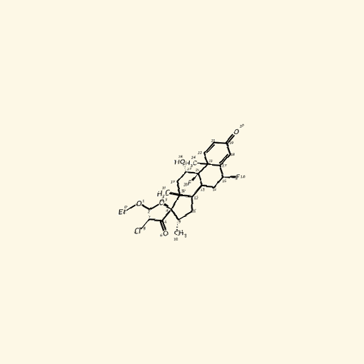 CCOCO[C@]1(C(=O)CCl)[C@@H](C)CC2C3C[C@H](F)C4=CC(=O)C=CC4(C)[C@@]3(F)[C@@H](O)CC21C